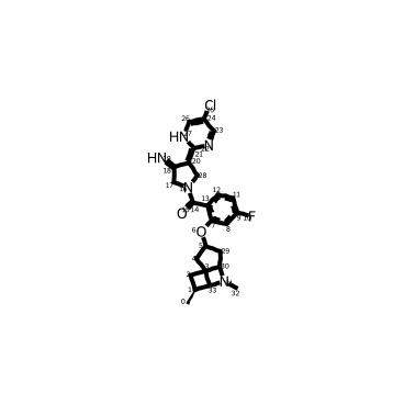 C[C@H]1CC23CC(Oc4cc(F)ccc4C(=O)N4CC(=N)/C(=C5/N=CC(Cl)=CN5)C4)CC2N(C)C13